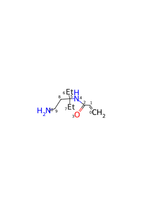 C=CC(=O)NC(CC)(CC)CCN